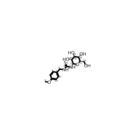 COc1ccc(CNC(=S)N[C@@H]2O[C@H](CO)[C@@H](O)[C@H](O)[C@H]2O)cc1